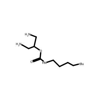 CC(C)(C)CCCCNC(=O)OC(CN)CN